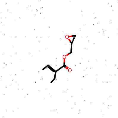 CC=C(CC)C(=O)OCC1CO1